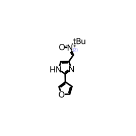 CC(C)(C)/[N+]([O-])=C/c1c[nH]c(-c2ccoc2)n1